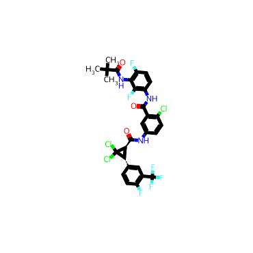 CC(C)(C)C(=O)Nc1c(F)ccc(NC(=O)c2cc(NC(=O)[C@H]3[C@H](c4ccc(F)c(C(F)(F)F)c4)C3(Cl)Cl)ccc2Cl)c1F